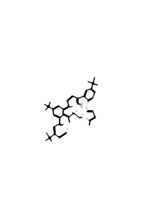 Cc1ccc2n1Cc1c3c4c(cc(C(C)(C)C)cc4c4ccc5c6cc(C(C)(C)C)ccc6n-2c5[n+]14)-c1cc(C(C)(C)C)cc[n+]1C3